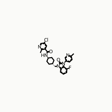 Cc1ccc(-n2c(=O)n(C[C@H]3CC[C@H](NC(=O)c4cc(Cl)cnc4C)CC3)c3cccc(F)c32)cn1